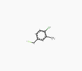 [CH2]c1cc(CF)ccc1Cl